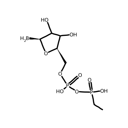 B[C@@H]1O[C@H](COP(=O)(O)OP(=O)(O)CC)C(O)C1O